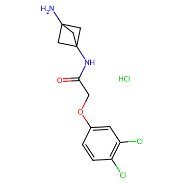 Cl.NC12CC(NC(=O)COc3ccc(Cl)c(Cl)c3)(C1)C2